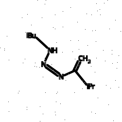 C=C(/N=N\NC(C)CC)C(C)C